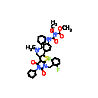 COC(=O)N(OC)C(=O)Nc1ccc(-c2sc3c(c2CN(C)Cc2ccccc2)c(=O)n(-c2ccccc2)c(=O)n3Cc2c(F)cccc2F)cc1